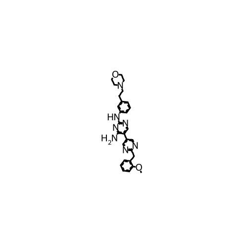 COc1ccccc1Cc1ncc(-c2cnc(Nc3cccc(CCN4CCOCC4)c3)nc2N)cn1